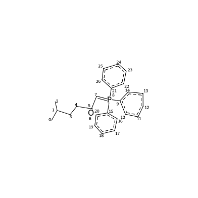 CC(C)CCC(=O)C=P(c1ccccc1)(c1ccccc1)c1ccccc1